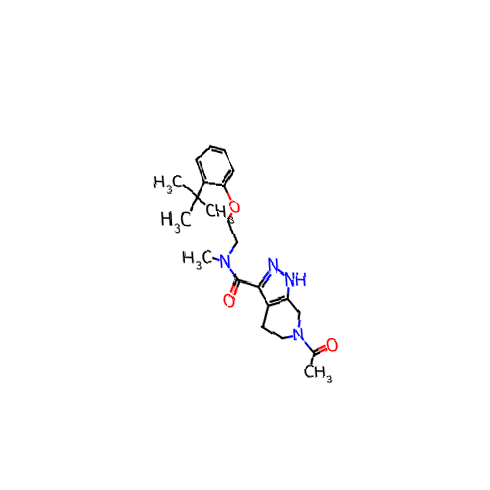 CC(=O)N1CCc2c(C(=O)N(C)CCOc3ccccc3C(C)(C)C)n[nH]c2C1